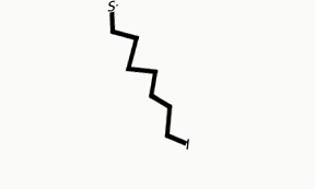 [S]CCCCCCCI